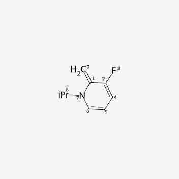 C=C1C(F)=CC=CN1C(C)C